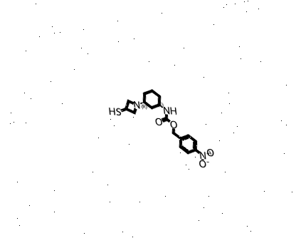 O=C(N[C@H]1CCC[C@@H](N2CC(S)C2)C1)OCc1ccc([N+](=O)[O-])cc1